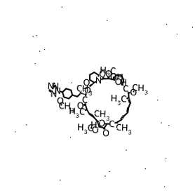 COC1C[C@@H]2CCC(C)C(O)(O2)C(=O)C(=O)N2CCCCC2C(=O)O[C@H](C(C)CC2CCC(n3ncnn3)C(OC)C2)CC(=O)C(C)/C=C(\C)[C@H]2OC(CC(C)/C=C/C=C/C=C/1C)C(=O)C2OC